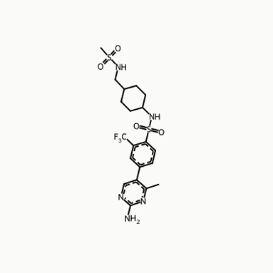 Cc1nc(N)ncc1-c1ccc(S(=O)(=O)NC2CCC(CNS(C)(=O)=O)CC2)c(C(F)(F)F)c1